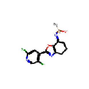 CC(C)(C)[S@+]([O-])/N=C1\CCCc2nc(-c3cc(Br)ncc3F)oc21